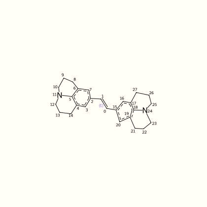 C(=C\c1cc2c3c(c1)CCCN3CCC2)/c1cc2c3c(c1)CCCN3CCC2